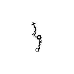 CN(C/C=C/C#CC(C)(C)C)Cc1cccc(OC/C=C/CCl)c1